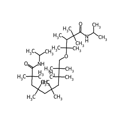 CC(C)NC(=O)C(C)(C)CC(C)(C)CC(C)(C)CC(C)(C)C(C)(C)COC(C)(C)C(C)C(C)(C)C(=O)NC(C)C